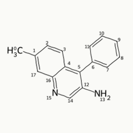 Cc1ccc2c(-c3ccccc3)c(N)cnc2c1